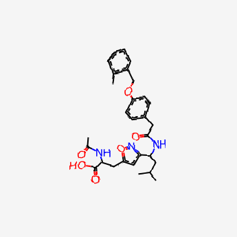 CC(=O)NC(Cc1cc(C(CC(C)C)NC(=O)Cc2ccc(OCc3ccccc3C)cc2)no1)C(=O)O